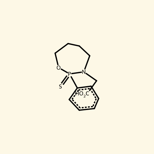 O=C(O)CN1CCCCOP1(=S)c1ccccc1